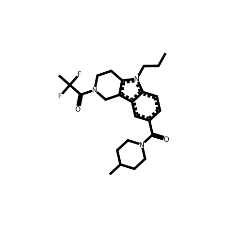 CCCn1c2c(c3cc(C(=O)N4CCC(C)CC4)ccc31)CN(C(=O)C(C)(F)F)CC2